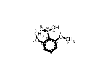 COc1cccc(OC)c1S(=O)O